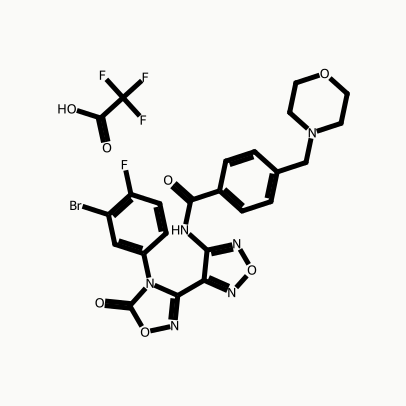 O=C(Nc1nonc1-c1noc(=O)n1-c1ccc(F)c(Br)c1)c1ccc(CN2CCOCC2)cc1.O=C(O)C(F)(F)F